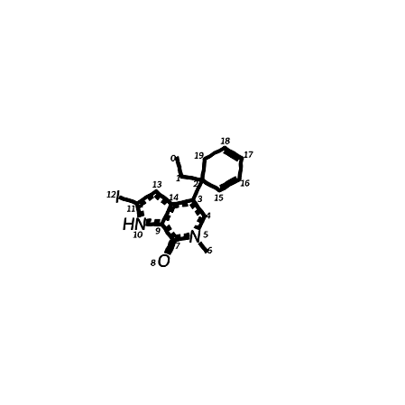 CCC1(c2cn(C)c(=O)c3[nH]c(I)cc23)C=CC=CC1